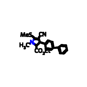 CCOC(=O)C1C(c2ccc(-c3ccccc3)cc2)C(C#N)=C(SC)N1C